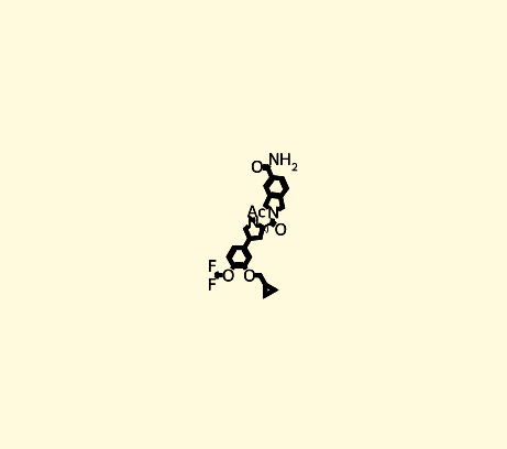 CC(=O)N1CC(c2ccc(OC(F)F)c(OCC3CC3)c2)C[C@@H]1C(=O)N1Cc2ccc(C(N)=O)cc2C1